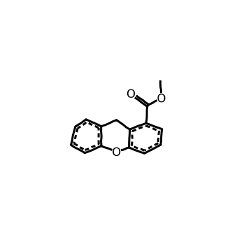 COC(=O)c1cccc2c1Cc1ccccc1O2